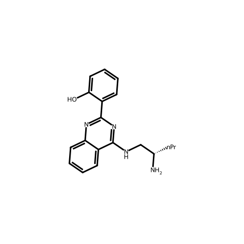 CCC[C@H](N)CNc1nc(-c2ccccc2O)nc2ccccc12